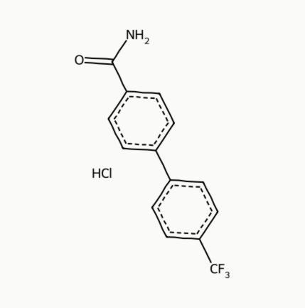 Cl.NC(=O)c1ccc(-c2ccc(C(F)(F)F)cc2)cc1